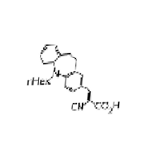 [C-]#[N+]/C(=C\c1ccc2c(c1)CCc1ccccc1N2CCCCCC)C(=O)O